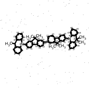 CC1c2ccccc2N(c2ccc3c(c2)C(C)(C)c2cc(-c4ccc5c(c4)C(C)(C)c4cc(N6c7ccccc7C(C)(C)c7ccccc76)ccc4-5)ccc2-3)c2ccccc21